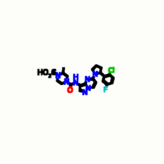 CC1CN(C(=O)Nc2cnn3ccc(N4CCCC4c4cc(F)ccc4Cl)nc23)CCN1C(=O)O